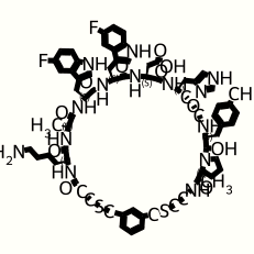 Cc1ccc(C[C@@H]2NCOC[C@H](Cc3c[nH]cn3)NC(=O)[C@H](CC(=O)O)NC(=O)[C@H](Cc3c[nH]c4ccc(F)cc34)NC(=O)[C@H](Cc3c[nH]c4ccc(F)cc34)NC(=O)[C@@H](C)NC(=O)[C@H](CCCCN)NC(=O)CCSCc3cccc(c3)CSCCNC(=O)[C@]3(C)CCCN3C2O)cc1